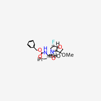 COC1(OC)CO[C@H]2[C@@H]1N(C(=O)[C@H](CC(C)C)NC(=O)OCc1ccccc1)C[C@@H]2F